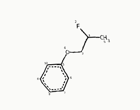 CC(F)COc1cc[c]cc1